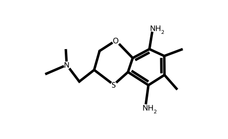 Cc1c(C)c(N)c2c(c1N)OCC(CN(C)C)S2